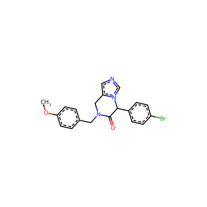 COc1ccc(CN2Cc3cncn3C(c3ccc(Br)cc3)C2=O)cc1